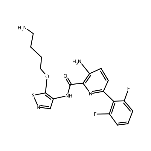 NCCCCOc1sncc1NC(=O)c1nc(-c2c(F)cccc2F)ccc1N